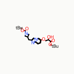 CC(C)(C)OC(=O)C(O)COc1ccc2nc(CC3CN(C(=O)OC(C)(C)C)C3)cn2c1